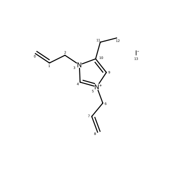 C=CCn1c[n+](CC=C)cc1CC.[I-]